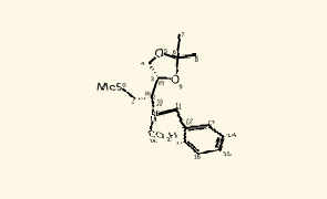 CSC[C@H]([C@@H]1COC(C)(C)O1)N(Cc1ccccc1)C(=O)O